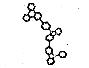 c1ccc(-n2c3ccccc3c3ccc(-c4ccc5c(c4)c4ccccc4n5-c4ccc(-c5ccc6c7ccccc7c7ccccc7c6c5)cc4)cc32)cc1